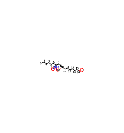 CCCCCCC(=CC#CCCCCCCC=O)[N+](=O)[O-]